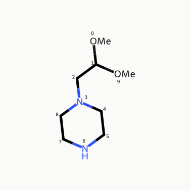 COC(CN1CCNCC1)OC